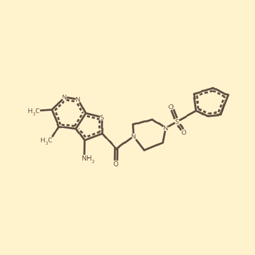 Cc1nnc2sc(C(=O)N3CCN(S(=O)(=O)c4ccccc4)CC3)c(N)c2c1C